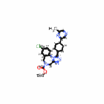 Cc1cncc(C2CCC(c3nnc4n3-c3ccc(Cl)cc3CN(C(=O)OC(C)(C)C)C4)CC2)n1